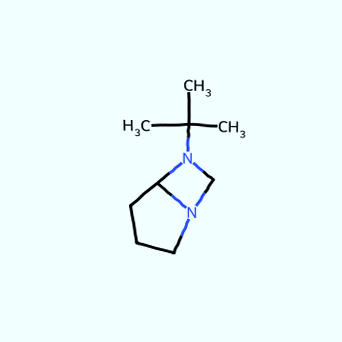 CC(C)(C)N1CN2CCCC21